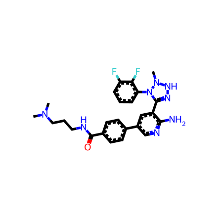 CN(C)CCCNC(=O)c1ccc(-c2cnc(N)c(C3=NNN(C)N3c3cccc(F)c3F)c2)cc1